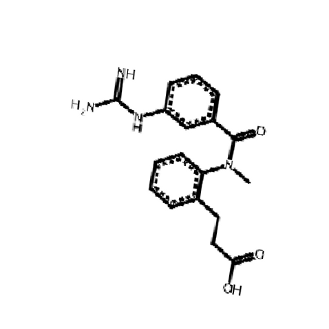 CN(C(=O)c1cccc(NC(=N)N)c1)c1ccccc1CCC(=O)O